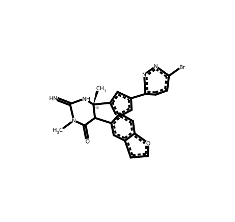 CN1C(=N)N[C@](C)(c2cc(-c3ccc(Br)nn3)cs2)C(c2ccc3occc3c2)C1=O